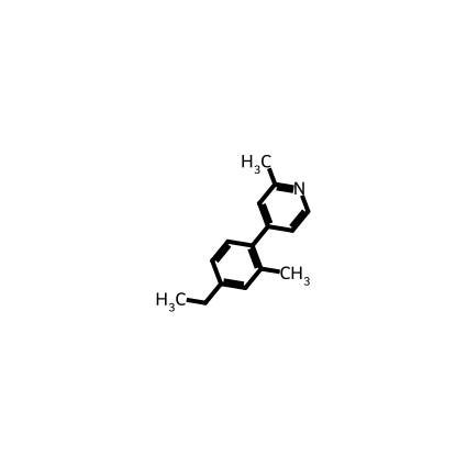 CCc1ccc(-c2ccnc(C)c2)c(C)c1